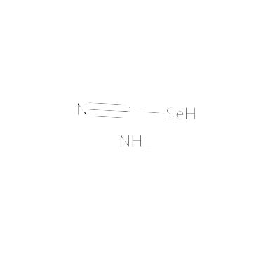 N.N#C[SeH]